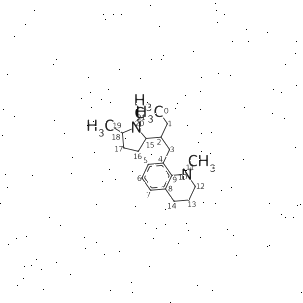 CCC(Cc1cccc2c1N(C)CCC2)C1CCC(C)N1C